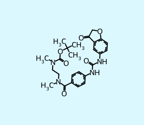 CN(CCN(C)C(=O)c1ccc(NC(=O)Nc2ccc3c(c2)C(=O)CO3)cc1)C(=O)OC(C)(C)C